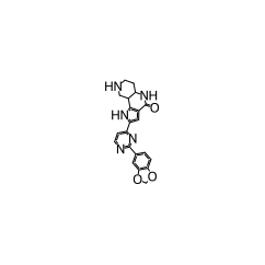 O=C1NC2CCNCC2c2[nH]c(-c3ccnc(-c4ccc5c(c4)OCO5)n3)cc21